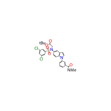 CNC(=O)c1cccc(-n2ccc3cc(N(CC(=O)OC(C)(C)C)S(=O)(=O)c4cc(Cl)cc(Cl)c4)ccc32)c1